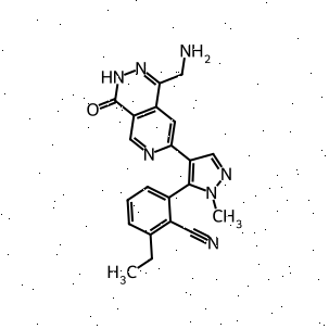 CCc1cccc(-c2c(-c3cc4c(CN)n[nH]c(=O)c4cn3)cnn2C)c1C#N